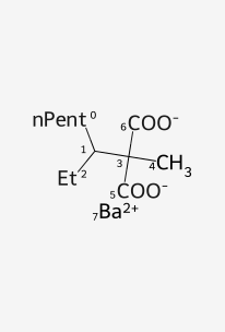 CCCCCC(CC)C(C)(C(=O)[O-])C(=O)[O-].[Ba+2]